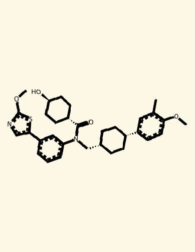 COc1ncc(-c2cccc(N(C[C@H]3CC[C@@H](c4ccc(OC)c(C)c4)CC3)C(=O)[C@H]3CC[C@H](O)CC3)c2)s1